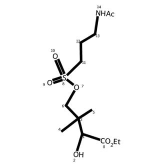 CCOC(=O)C(O)C(C)(C)COS(=O)(=O)CCCNC(C)=O